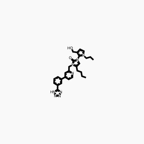 CCCCc1cn(-c2c(CO)ccn2CCC)c(=O)n1Cc1cc(-c2cccc(-c3nnn[nH]3)c2)ccn1